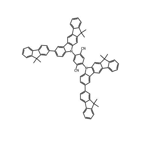 CC1(C)c2ccccc2-c2ccc(-c3ccc4c(c3)c3cc5c(cc3n4-c3cc(C#N)c(-n4c6ccc(-c7ccc8c(c7)C(C)(C)c7ccccc7-8)cc6c6cc7c(cc64)C(C)(C)c4ccccc4-7)cc3C#N)C(C)(C)c3ccccc3-5)cc21